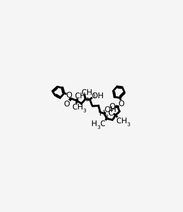 CC(CC(C)(C)CC(=O)Oc1ccccc1)C(O)CCCC(O)C(C)CC(C)(C)C(=O)Oc1ccccc1